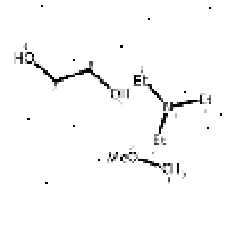 CCN(CC)CC.COC.OCCO